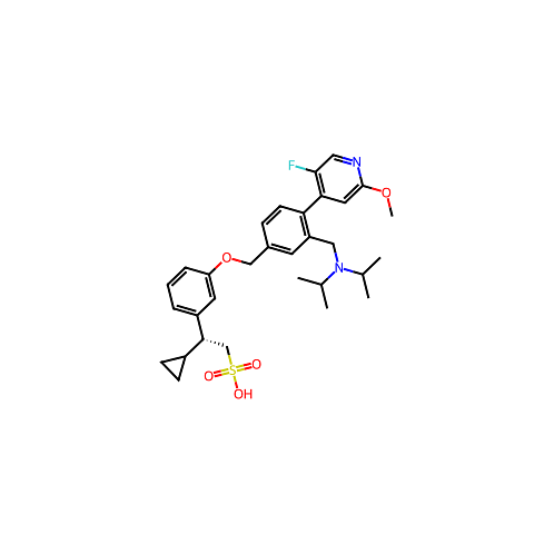 COc1cc(-c2ccc(COc3cccc([C@H](CS(=O)(=O)O)C4CC4)c3)cc2CN(C(C)C)C(C)C)c(F)cn1